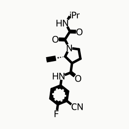 C#C[C@H]1C(C(=O)Nc2ccc(F)c(C#N)c2)CCN1C(=O)C(=O)NC(C)C